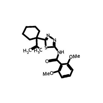 C=C(C)C1(c2nnc(NC(=O)c3c(OC)cccc3OC)s2)CCCCC1